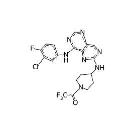 O=C(N1CCC(Nc2ncc3ncnc(Nc4ccc(F)c(Cl)c4)c3n2)CC1)C(F)(F)F